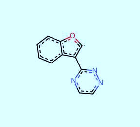 [c]1oc2ccccc2c1-c1nccnn1